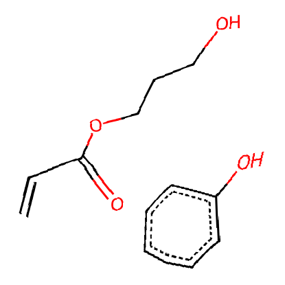 C=CC(=O)OCCCO.Oc1ccccc1